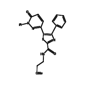 COCCNC(=O)c1nc(-c2ccccc2)c(-c2ccc(=O)n(C(C)C)n2)s1